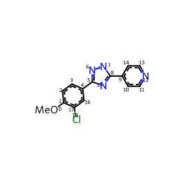 COc1ccc(C2=N[N]C(c3ccncc3)=N2)cc1Cl